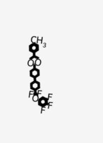 Cc1ccc(C2COC(C3CCC(C4CCC(C(F)(F)Oc5cc(F)c(F)c(F)c5)CC4)CC3)OC2)cc1